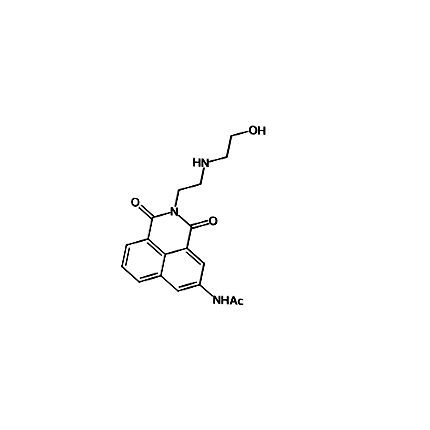 CC(=O)Nc1cc2c3c(cccc3c1)C(=O)N(CCNCCO)C2=O